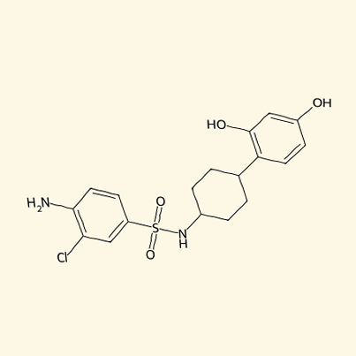 Nc1ccc(S(=O)(=O)NC2CCC(c3ccc(O)cc3O)CC2)cc1Cl